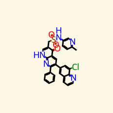 Cc1ccc(NS(=O)(=O)Cc2c[nH]c3nc(-c4ccccc4)c(-c4cc(Cl)c5ncccc5c4)cc3c2=O)cn1